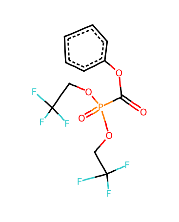 O=C(Oc1ccccc1)P(=O)(OCC(F)(F)F)OCC(F)(F)F